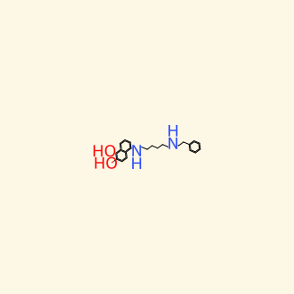 Oc1ccc2c(NCCCCCCNCCc3ccccc3)cccc2c1O